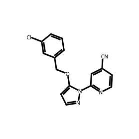 N#Cc1ccnc(-n2nccc2OCc2cccc(Cl)c2)c1